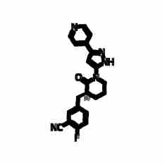 N#Cc1cc(C[C@@H]2CCCN(c3cc(-c4ccncc4)n[nH]3)C2=O)ccc1F